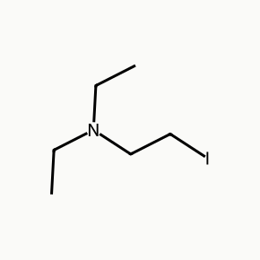 CCN(CC)CCI